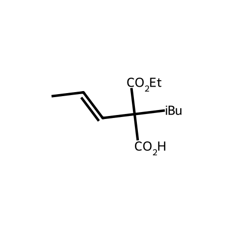 CC=CC(C(=O)O)(C(=O)OCC)C(C)CC